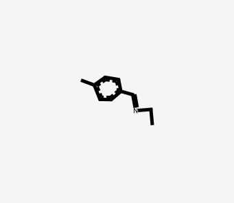 CCN=Cc1ccc(C)cc1